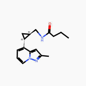 CCCC(=O)NC[C@@H]1C[C@H]1c1cccn2nc(C)cc12